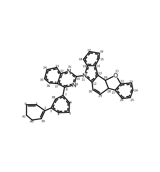 C1=CC(c2cccc(-c3nc(-n4c5c(c6ccccc64)C4Oc6ccccc6C4C=C5)nc4ccccc34)c2)=CCC1